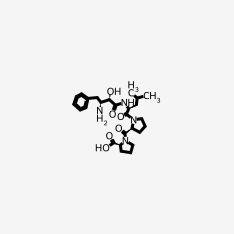 CC(C)C[C@H](NC(=O)[C@@H](O)[C@H](N)Cc1ccccc1)C(=O)N1CCC[C@H]1C(=O)N1CCC[C@H]1C(=O)O